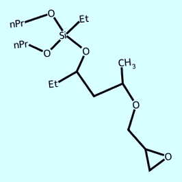 CCCO[Si](CC)(OCCC)OC(CC)CC(C)OCC1CO1